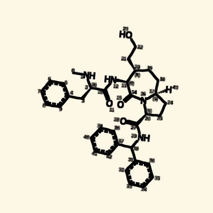 CN[C@H](Cc1ccccc1)C(=O)N[C@@H]1C(=O)N2[C@@H](CC[C@@H]1CCO)CC[C@H]2C(=O)NC(c1ccccc1)c1ccccc1